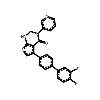 O=C1c2c(-c3ccc(-c4ccc(F)c(F)c4)cc3)csc2NCN1c1cccnc1